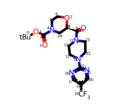 CC(C)(C)OC(=O)N1CCO[C@@H](C(=O)N2CCN(c3ncc(C(F)(F)F)cn3)CC2)C1